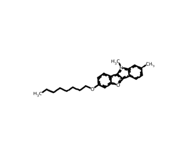 CCCCCCCCOc1ccc2c(c1)oc1c3ccc(C)cc3n(C)c21